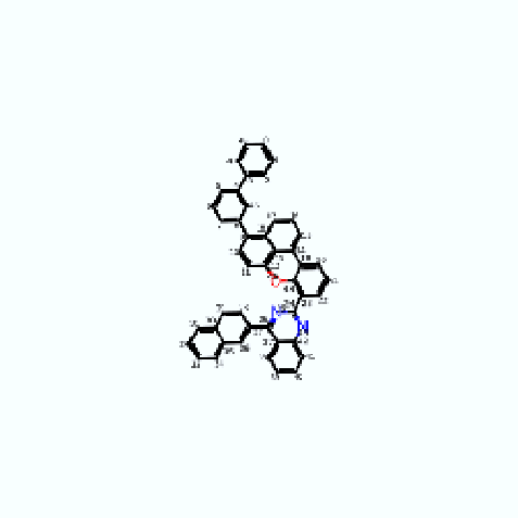 c1ccc(-c2cccc(-c3ccc4c5c(cccc35)-c3cccc(-c5nc(-c6ccc7ccccc7c6)c6ccccc6n5)c3O4)c2)cc1